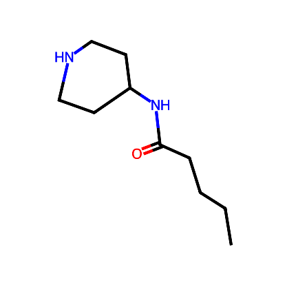 CCCCC(=O)NC1CCNCC1